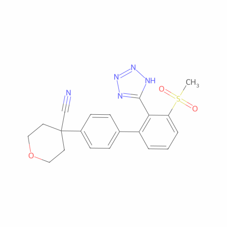 CS(=O)(=O)c1cccc(-c2ccc(C3(C#N)CCOCC3)cc2)c1-c1nnn[nH]1